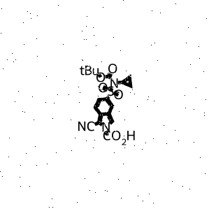 CC(C)(C)OC(=O)N(C1CC1)S(=O)(=O)c1ccc2c(C#N)n(C(=O)O)cc2c1